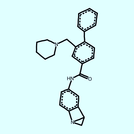 O=C(Nc1ccc2c(c1)C1CN21)c1ccc(-c2ccccc2)c(CN2CCCCC2)c1